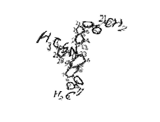 C=CC(=O)Oc1ccc2cc(N(c3ccc4cc(OC(=O)C=C)ccc4c3)c3ccc(C)s3)ccc2c1